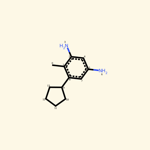 Cc1c(N)cc(N)cc1C1CCCC1